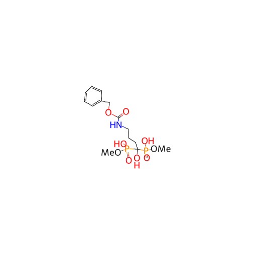 COP(=O)(O)C(O)(CCCNC(=O)OCc1ccccc1)P(=O)(O)OC